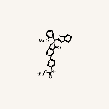 COc1ccccc1C(c1cc2ccccc2[nH]1)N1Cc2ccc(-c3ccc(NC(=O)OC(C)(C)C)cc3)cc2C1=O